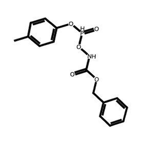 Cc1ccc(O[PH](=O)ONC(=O)OCc2ccccc2)cc1